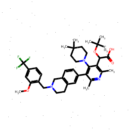 COc1cc(C(F)(F)F)ccc1CN1CCc2cc(-c3c(C)nc(C)c(C(OC(C)(C)C)C(=O)O)c3N3CCC(C)(C)CC3)ccc2C1